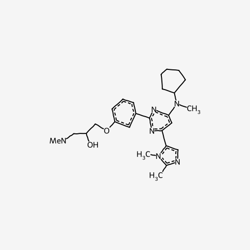 CNCC(O)COc1cccc(-c2nc(-c3cnc(C)n3C)cc(N(C)C3CCCCC3)n2)c1